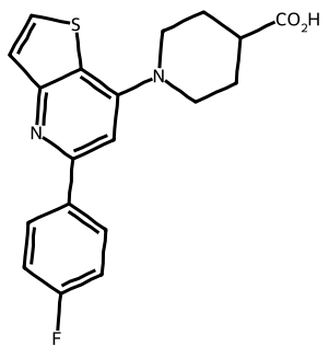 O=C(O)C1CCN(c2cc(-c3ccc(F)cc3)nc3ccsc23)CC1